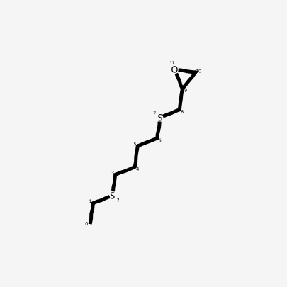 CCSCCCCSCC1CO1